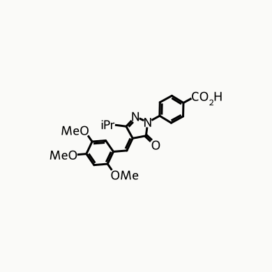 COc1cc(OC)c(OC)cc1/C=C1/C(=O)N(c2ccc(C(=O)O)cc2)N=C1C(C)C